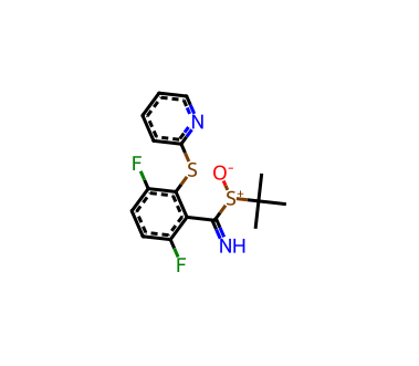 CC(C)(C)[S+]([O-])C(=N)c1c(F)ccc(F)c1Sc1ccccn1